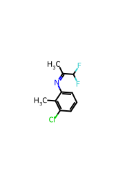 CC(=Nc1cccc(Cl)c1C)C(F)F